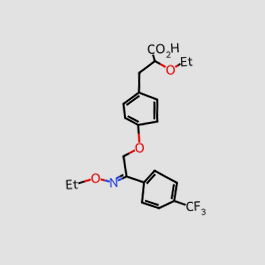 CCO/N=C(\COc1ccc(CC(OCC)C(=O)O)cc1)c1ccc(C(F)(F)F)cc1